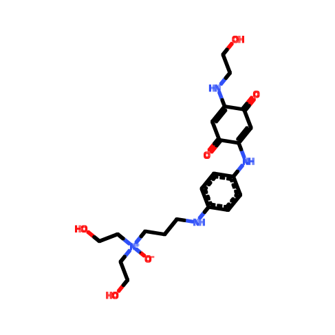 O=C1C=C(Nc2ccc(NCCC[N+]([O-])(CCO)CCO)cc2)C(=O)C=C1NCCO